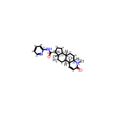 CCN1C(=O)C=C[C@]2(C)[C@H]3CC[C@]4(C)[C@@H](C(=O)Nc5ccccn5)CC[C@H]4[C@@H]3CC[C@@H]12